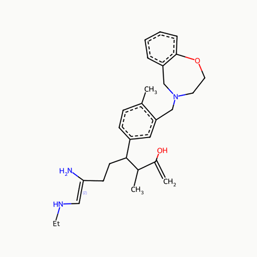 C=C(O)C(C)C(CC/C(N)=C/NCC)c1ccc(C)c(CN2CCOc3ccccc3C2)c1